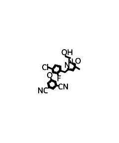 Cc1cc(Cc2ccc(Cl)c(Oc3cc(C#N)cc(C#N)c3)c2F)nn(CCO)c1=O